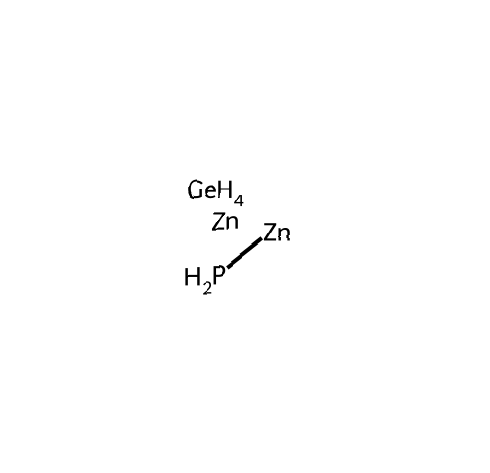 [GeH4].[PH2][Zn].[Zn]